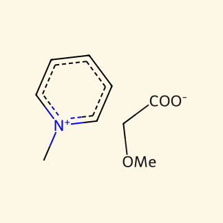 COCC(=O)[O-].C[n+]1ccccc1